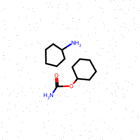 NC(=O)OC1CCCCC1.NC1CCCCC1